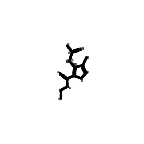 CCOC(=O)c1scc(C)c1NC(C)=O